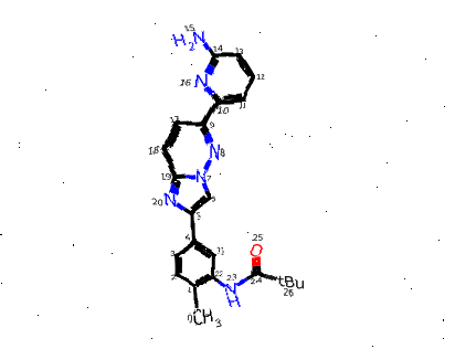 Cc1ccc(-c2cn3nc(-c4cccc(N)n4)ccc3n2)cc1NC(=O)C(C)(C)C